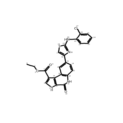 CCOC(=O)c1c[nH]c2c(=O)[nH]c3ccc(-c4csc(Nc5ccccc5Cl)n4)cc3c12